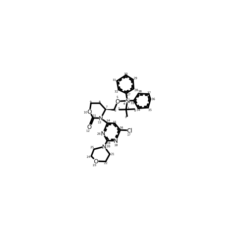 CC(C)(C)[Si](OC[C@@H]1CCOC(=O)N1c1cc(Cl)nc(N2CCOCC2)n1)(c1ccccc1)c1ccccc1